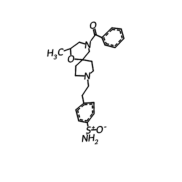 CC1CN(C(=O)c2ccccc2)CC2(CCN(CCc3ccc([S+](N)[O-])cc3)CC2)O1